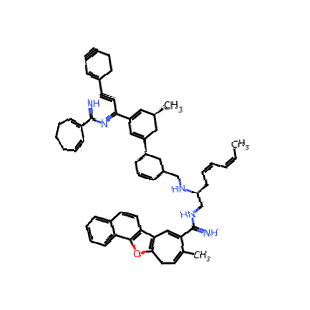 C/C=C\C=C/C[C@@H](CNC(=N)C1=Cc2c(oc3c2ccc2ccccc23)CC=C1C)NCC1C=CC[C@@H](C2=CC(C(/C=C/C3=CC#CCC3)=N/C(=N)C3=CCCCC=C3)=C[C@@H](C)C2)C1